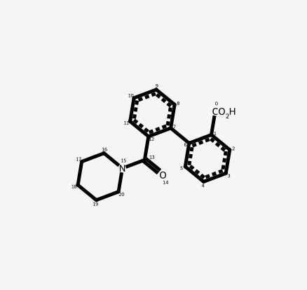 O=C(O)c1ccccc1-c1ccccc1C(=O)N1CCCCC1